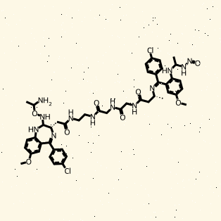 COc1ccc2c(c1)C(c1ccc(Cl)cc1)=N[C@@H](CC(=O)NCCNC(=O)CNC(=O)CNC(=O)C[C@@H](C)/N=C(/c1ccc(Cl)cc1)c1cc(OC)ccc1NC(C)NN=O)C(NOC(C)N)N2